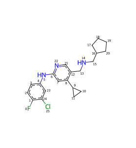 Fc1ccc(Nc2cc(C3CC3)c(CNCC3CCCC3)cn2)cc1Cl